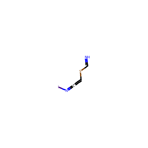 N=CSC=C=NI